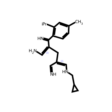 Cc1ccc(C(=N)/C(=C\N)C/C(C=N)=C/NCC2CC2)c(C(C)C)c1